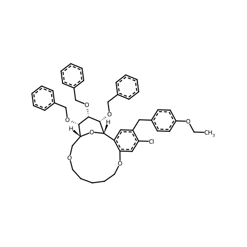 CCOc1ccc(Cc2cc3c(cc2Cl)OCCCCCOC[C@H]2O[C@@H]3[C@@H](OCc3ccccc3)[C@@H](OCc3ccccc3)[C@H]2OCc2ccccc2)cc1